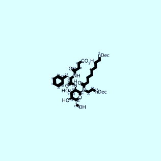 CCCCCCCCCCCCCCCCCC(=O)N(CCCCCCCCCCCC)[C@@H]1O[C@H](CO)[C@@H](O)[C@H](O)[C@H]1NC(=O)[C@H](Cc1ccccc1)NC(=O)CCC(=O)O